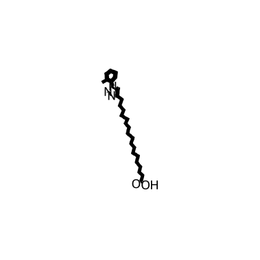 Cc1ccccc1-n1cc(CCCCCCCCCCCCCCCCCC(=O)O)nn1